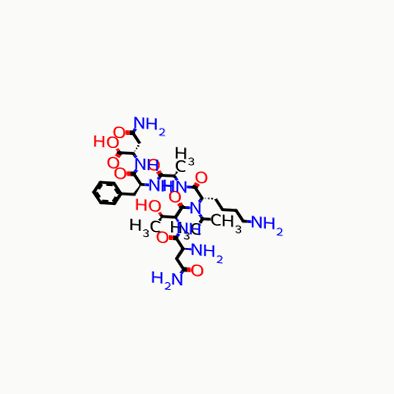 CC(C)N(C(=O)[C@@H](NC(=O)[C@@H](N)CC(N)=O)[C@@H](C)O)[C@@H](CCCCN)C(=O)N[C@@H](C)C(=O)N[C@@H](Cc1ccccc1)C(=O)N[C@@H](CC(N)=O)C(=O)O